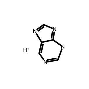 C1=NC=C2N=CN=C2[N]1.[H+]